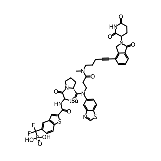 CN(CCCC#Cc1cccc2c1CN(C1CCC(=O)NC1=O)C2=O)C(=O)CCN(C(=O)[C@@H]1CCCN1C(=O)C(NC(=O)c1cc2cc(C(F)(F)P(=O)(O)O)ccc2s1)C(C)(C)C)c1ccc2scnc2c1